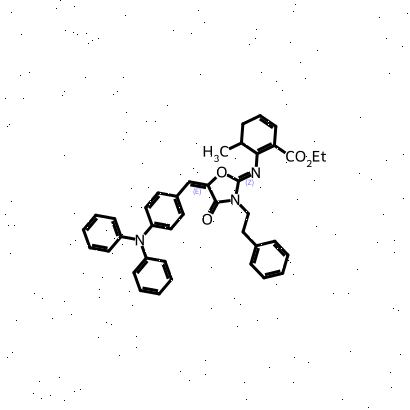 CCOC(=O)C1=C(/N=C2\O/C(=C/c3ccc(N(c4ccccc4)c4ccccc4)cc3)C(=O)N2CCc2ccccc2)C(C)CC=C1